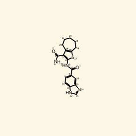 NC(=O)c1c(NC(=O)c2ccc3[nH]cnc3c2)sc2c1CCCCC2